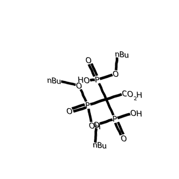 CCCCOP(=O)(O)C(C(=O)O)(P(=O)(O)OCCCC)P(=O)(O)OCCCC